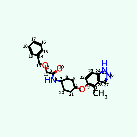 Cc1c(OC2CCC(NC(=O)COCc3ccccc3)CC2)ccc2[nH]ncc12